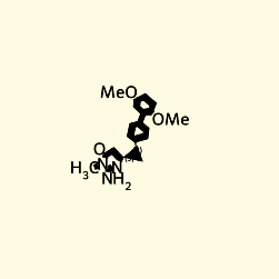 COc1ccc(OC)c(-c2ccc([C@@H]3C[C@@H]3c3cc(=O)n(C)c(N)n3)cc2)c1